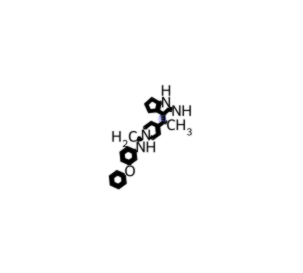 C=C(Nc1cccc(Oc2ccccc2)c1)N1CC=C(/C(C)=C2/C(=N)NC3=C2CCC3)CC1